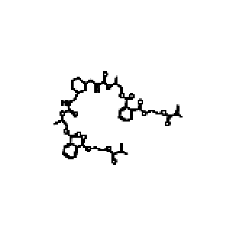 C=C(C)C(=O)OCCOC(=O)c1ccccc1C(=O)OCC(C)OC(=O)NCC1CCCC(CNC(=O)OC(C)COC(=O)c2ccccc2C(=O)OCCOC(=O)C(=C)C)C1